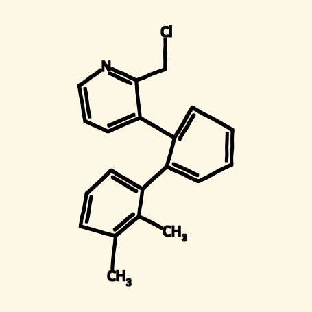 Cc1cccc(-c2ccccc2-c2cccnc2CCl)c1C